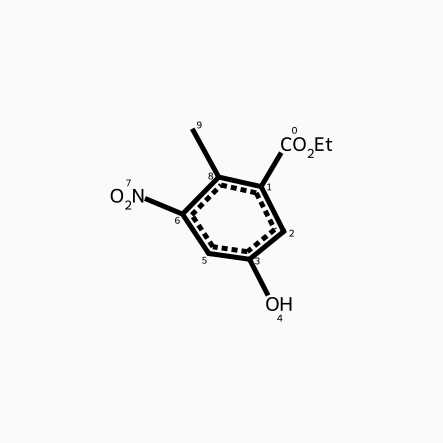 CCOC(=O)c1cc(O)cc([N+](=O)[O-])c1C